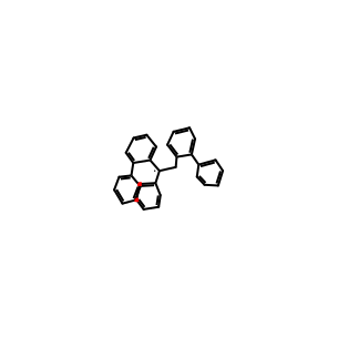 c1ccc([C](Cc2ccccc2-c2ccccc2)c2ccccc2-c2ccccc2)cc1